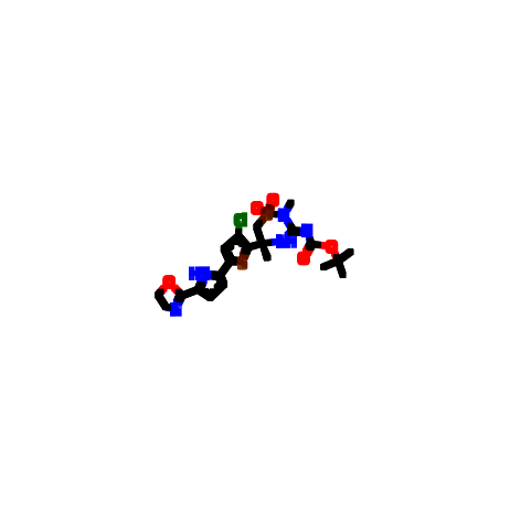 CN1/C(=N/C(=O)OC(C)(C)C)N[C@](C)(c2sc(-c3ccc(C4=NCCO4)[nH]3)cc2Cl)CS1(=O)=O